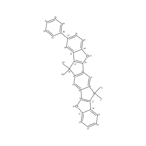 CC1(C)c2cc3c(cc2-c2oc4ccccc4c21)C(C)(C)c1c-3oc2ccc(-c3ccccc3)cc12